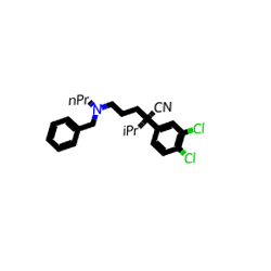 CCCN(CCCC(C#N)(c1ccc(Cl)c(Cl)c1)C(C)C)Cc1ccccc1